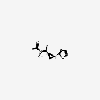 CC(=O)N(O)C(C)[C@@H]1C[C@H]1c1ccco1